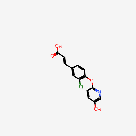 O=C(O)C=Cc1ccc(Oc2ccc(O)cn2)c(Cl)c1